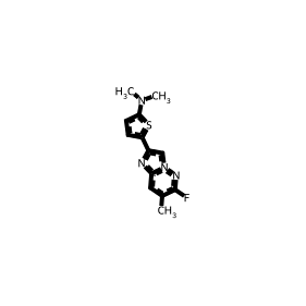 Cc1cc2nc(-c3ccc(N(C)C)s3)cn2nc1F